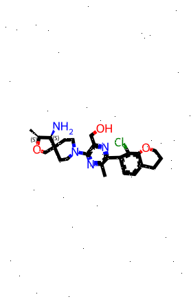 Cc1nc(N2CCC3(CC2)CO[C@@H](C)[C@H]3N)c(CO)nc1-c1ccc2c(c1Cl)OCCC2